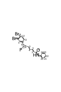 O=C(/C=C/C=C/C1C(F)C1c1ccc(Br)c(Br)c1)Nc1ccccc1